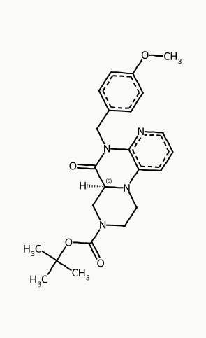 COc1ccc(CN2C(=O)[C@@H]3CN(C(=O)OC(C)(C)C)CCN3c3cccnc32)cc1